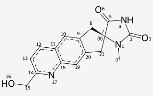 CN1C(=O)NC(=O)[C@]12Cc1cc3ccc(CO)nc3cc1C2